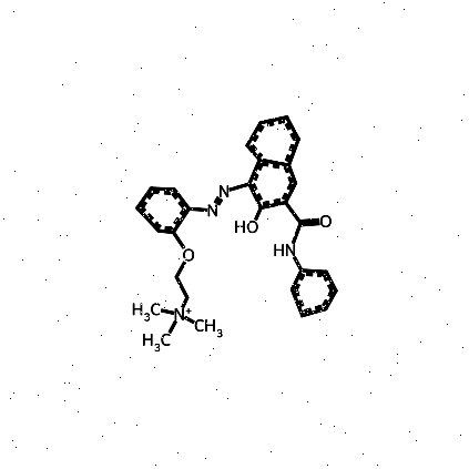 C[N+](C)(C)CCOc1ccccc1/N=N/c1c(O)c(C(=O)Nc2ccccc2)cc2ccccc12